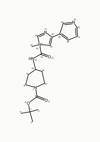 CC(C)(C)OC(=O)N1CCC(NC(=O)[N+]2(C)C=NC(c3cccnc3)=C2)CC1